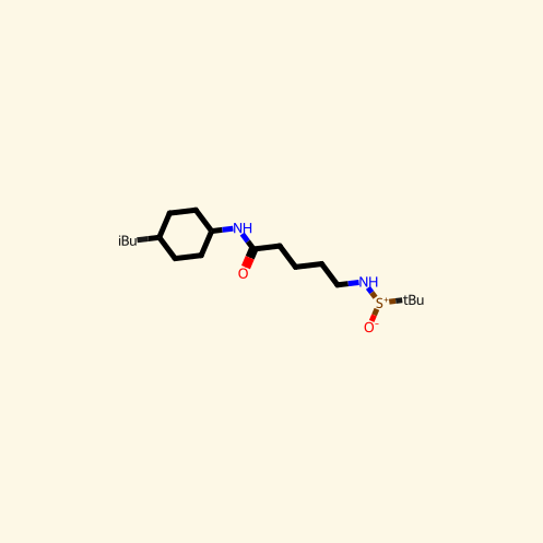 CCC(C)C1CCC(NC(=O)CCCCN[S+]([O-])C(C)(C)C)CC1